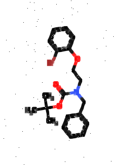 CC(C)(C)OC(=O)N(CCOc1ccccc1Br)Cc1ccccc1